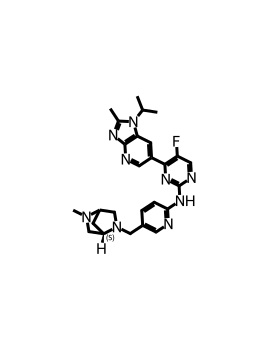 Cc1nc2ncc(-c3nc(Nc4ccc(CN5CC6C[C@H]5CN6C)cn4)ncc3F)cc2n1C(C)C